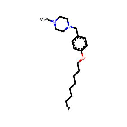 CSN1CCN(Cc2ccc(OCCCCCCCC(C)C)cc2)CC1